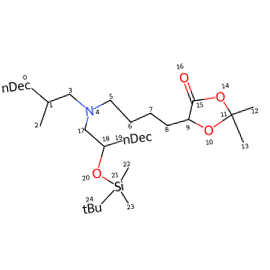 CCCCCCCCCCC(C)CN(CCCCC1OC(C)(C)OC1=O)CC(CCCCCCCCCC)O[Si](C)(C)C(C)(C)C